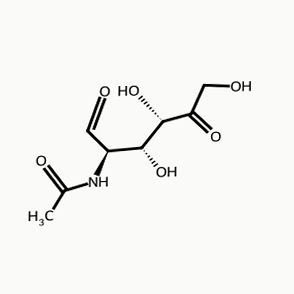 CC(=O)N[C@@H](C=O)[C@@H](O)[C@H](O)C(=O)CO